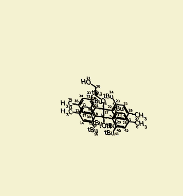 Cc1cc(C(C)(C)C)c(C(O)(c2c(C(C)(C)C)cc(C)cc2C(C)(C)C)C(OCCO)(c2c(C(C)(C)C)cc(C)cc2C(C)(C)C)c2c(C(C)(C)C)cc(C)cc2C(C)(C)C)c(C(C)(C)C)c1